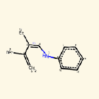 C=C(CCC)/C(=C\Nc1ccccc1)CC